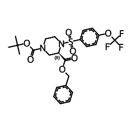 CC(C)(C)OC(=O)N1CCN(S(=O)(=O)c2ccc(OC(F)(F)F)cc2)[C@@H](C(=O)OCc2ccccc2)C1